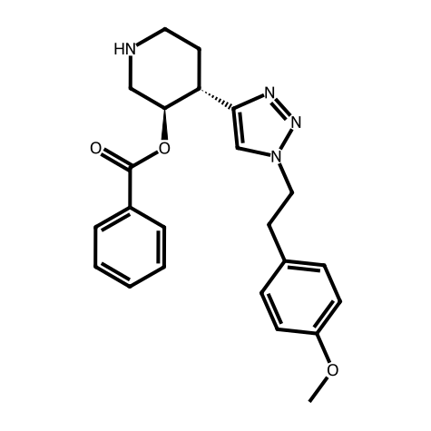 COc1ccc(CCn2cc([C@H]3CCNC[C@@H]3OC(=O)c3ccccc3)nn2)cc1